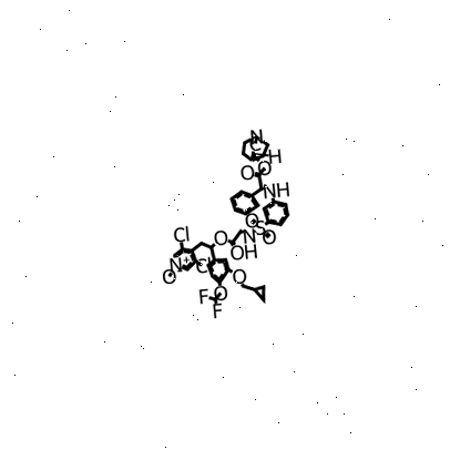 O=C(CNS(=O)(=O)c1cccc(NC(C(=O)O[C@H]2CN3CCC2CC3)c2ccccc2)c1)OC(Cc1c(Cl)c[n+]([O-])cc1Cl)c1ccc(OC(F)F)c(OCC2CC2)c1